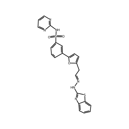 O=S(=O)(Nc1ncccn1)c1cccc(-c2ccc(CC=NNc3nc4ccccc4s3)o2)c1